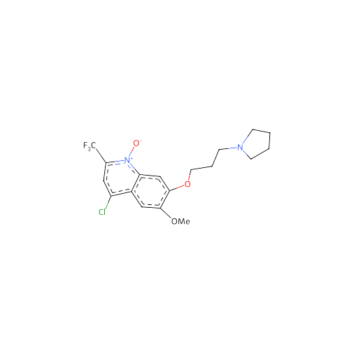 COc1cc2c(Cl)cc(C(F)(F)F)[n+]([O-])c2cc1OCCCN1CCCC1